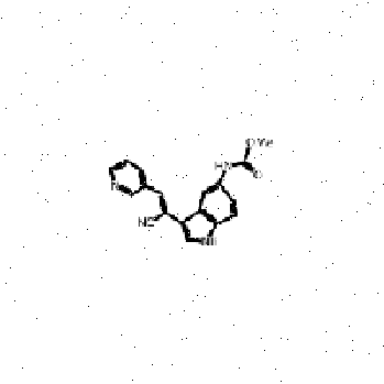 COC(=O)Nc1ccc2[nH]cc(C(C#N)=Cc3cccnc3)c2c1